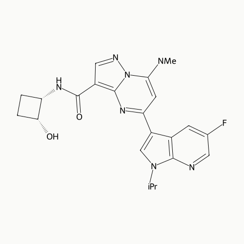 CNc1cc(-c2cn(C(C)C)c3ncc(F)cc23)nc2c(C(=O)N[C@H]3CC[C@H]3O)cnn12